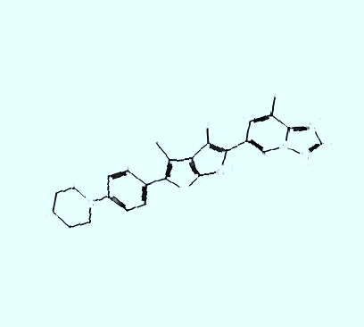 Cc1c(-c2ccc(N3CCCCC3)cc2)sc2[nH]c(-c3cc(C)c4ncnn4c3)c(C(C)C)c12